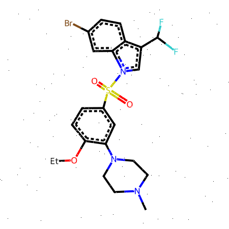 CCOc1ccc(S(=O)(=O)n2cc(C(F)F)c3ccc(Br)cc32)cc1N1CCN(C)CC1